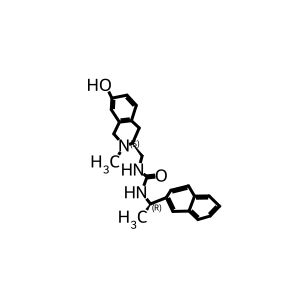 C[C@@H](NC(=O)NC[C@@H]1Cc2ccc(O)cc2CN1C)c1ccc2ccccc2c1